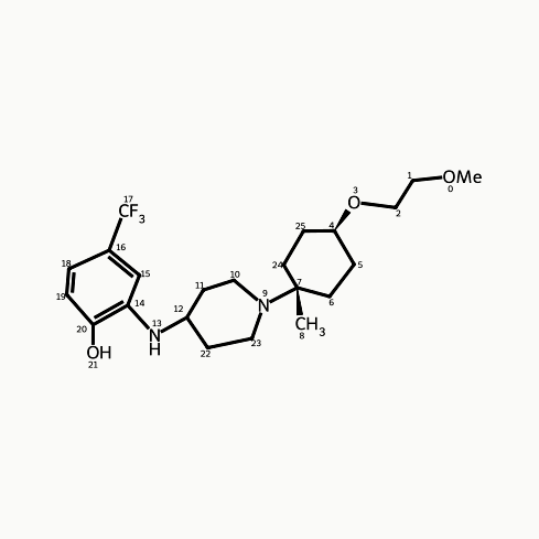 COCCO[C@H]1CC[C@](C)(N2CCC(Nc3cc(C(F)(F)F)ccc3O)CC2)CC1